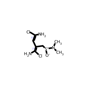 CN(C)[S+]([O-])CC(/C=C(\N)Cl)=C(/N)Cl